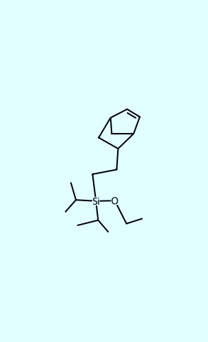 CCO[Si](CCC1CC2C=CC1C2)(C(C)C)C(C)C